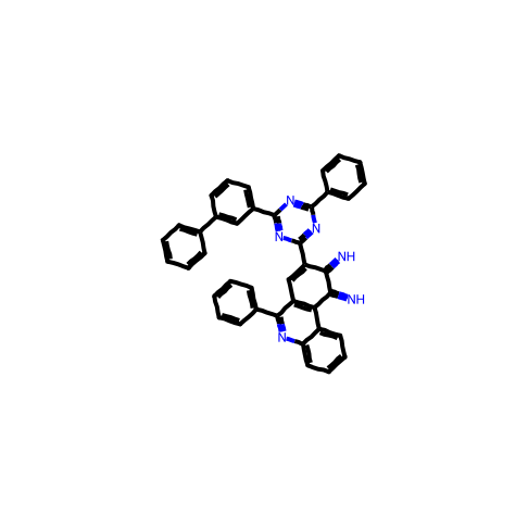 N=C1C(=N)c2c(c(-c3ccccc3)nc3ccccc23)C=C1c1nc(-c2ccccc2)nc(-c2cccc(-c3ccccc3)c2)n1